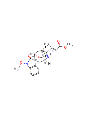 COC(=O)/C=C(\C)C1=N[C@H]2C[C@@]3(C(=O)N(OC)c4ccccc43)[C@H]3C[C@@H]1[C@@H]2CO3